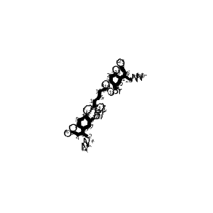 [N-]=[N+]=Cc1cc(=O)oc2cc(OC(=O)CCCC(=O)Oc3cc4oc(=O)cc(C=[N+]=[N-])c4cc3Br)c(Br)cc12